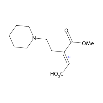 COC(=O)/C(=C/C(=O)O)CCN1CCCCC1